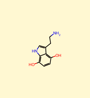 NCCc1c[nH]c2c(O)ccc(O)c12